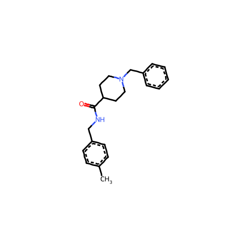 Cc1ccc(CNC(=O)C2CCN(Cc3ccccc3)CC2)cc1